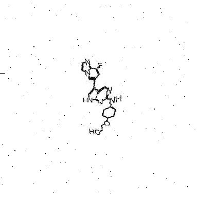 OCCO[C@H]1CC[C@@H](Nc2ncc3c(-c4cc(F)c5nccn5c4)c[nH]c3n2)CC1